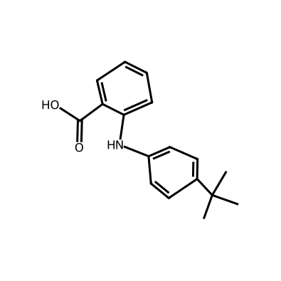 CC(C)(C)c1ccc(Nc2ccccc2C(=O)O)cc1